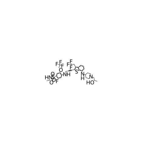 CC(=O)NS(=O)(=O)c1cc(OCC(F)(F)F)c(NCC#Cc2sc3c(NC4CCN(CC(C)O)CC4)cccc3c2CC(F)(F)F)cc1F